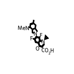 CNC1C=C(C)CC2CN(c3c(F)cc4c(=O)c(C(=O)O)cn(C5CC5)c4c3F)CC21